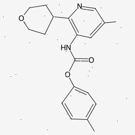 Cc1ccc(OC(=O)Nc2cc(C)cnc2C2CCOCC2)cc1